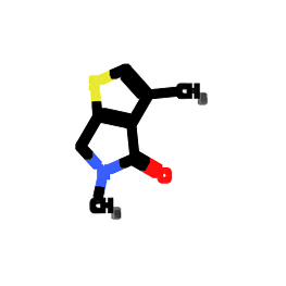 Cc1csc2c1C(=O)N(C)C2